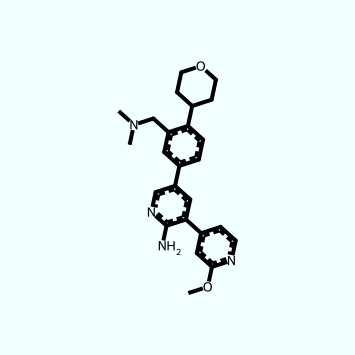 COc1cc(-c2cc(-c3ccc(C4CCOCC4)c(CN(C)C)c3)cnc2N)ccn1